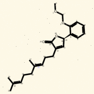 COCOc1ccccc1[C@H]1C=C(CC/C=C(\C)CCC=C(C)C)C(=O)O1